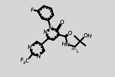 C[C@H](NC(=O)c1cc(-c2cnc(C(F)(F)F)nc2)nn(-c2cccc(F)c2)c1=O)C(C)(C)O